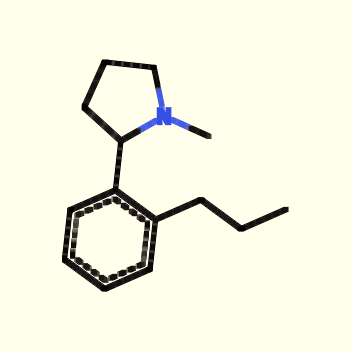 CCCc1ccccc1C1CCCN1C